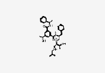 CC(C)CNC[C@@H](NC[C@H](Cc1ccccc1)NC(=O)c1cc(C(=O)N[C@H](C)c2ccccc2)cc(N(C)S)c1)[C@H](C)O